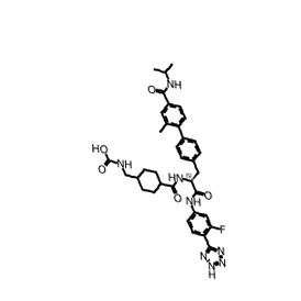 Cc1cc(C(=O)NC(C)C)ccc1-c1ccc(C[C@H](NC(=O)C2CCC(CNC(=O)O)CC2)C(=O)Nc2ccc(-c3nn[nH]n3)c(F)c2)cc1